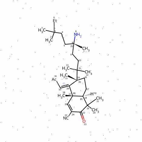 CCC(C)(C)CC[C@](C)(N)CCC(C)(C)[C@]1(C)CC[C@H]2C(C)(C)C(=O)C(C#N)=C[C@]2(C)/C1=C/C(C)=O